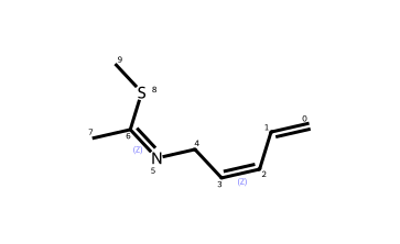 C=C/C=C\C/N=C(/C)SC